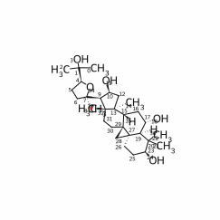 CC(C)(O)[C@@H]1CC[C@](C)([C@H]2[C@@H](O)C[C@@]3(C)[C@@H]4C[C@H](O)[C@H]5C(C)(C)[C@@H](O)CC[C@@]56C[C@@]46CC[C@]23C)O1